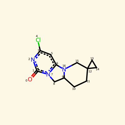 O=c1nc(Cl)cc2n1CC1CCC3(CC3)CN21